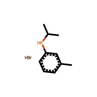 Br.Cc1cccc(PC(C)C)c1